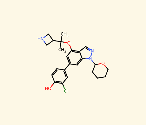 CC(C)(Oc1cc(-c2ccc(O)c(Cl)c2)cc2c1cnn2C1CCCCO1)C1CNC1